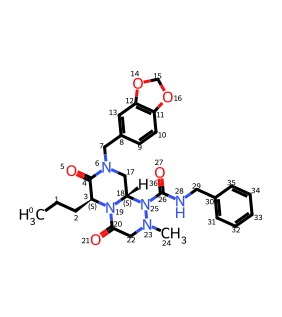 CCC[C@H]1C(=O)N(Cc2ccc3c(c2)OCO3)C[C@H]2N1C(=O)CN(C)N2C(=O)NCc1ccccc1